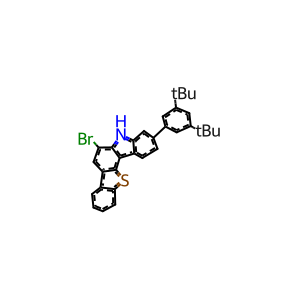 CC(C)(C)c1cc(-c2ccc3c(c2)[nH]c2c(Br)cc4c5ccccc5sc4c23)cc(C(C)(C)C)c1